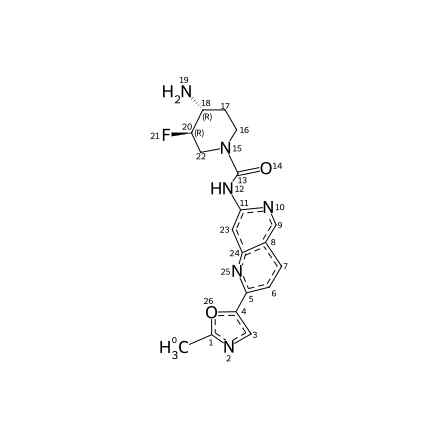 Cc1ncc(-c2ccc3cnc(NC(=O)N4CC[C@@H](N)[C@H](F)C4)cc3n2)o1